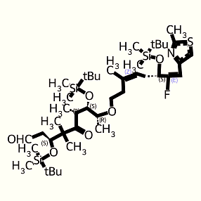 C/C(=C/C[C@H](O[Si](C)(C)C(C)(C)C)/C(F)=C\c1csc(C)n1)CCO[C@H](C)[C@@H](O[Si](C)(C)C(C)(C)C)[C@@H](C)C(=O)C(C)(C)[C@H](CC=O)O[Si](C)(C)C(C)(C)C